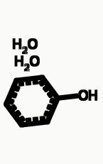 O.O.Oc1ccccc1